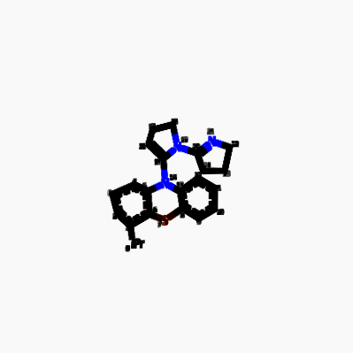 CC(C)c1cccc2c1Sc1ccccc1N2C1=CCCN1C1=NCCC1